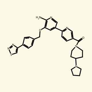 Nc1ncc(-c2ccc(C(=O)N3CCC(N4CCCC4)CC3)cn2)cc1OCc1ccc(-c2csnn2)cc1